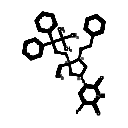 C=C[C@]1(CO[Si](c2ccccc2)(c2ccccc2)C(C)(C)C)O[C@@H](n2cc(F)c(=O)[nH]c2=O)C[C@@H]1OCc1ccccc1